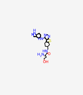 N[C@@H](CCO)C(=O)NCC1CCc2c(sc3ncnc(Nc4ccc5[nH]ncc5c4)c23)C1